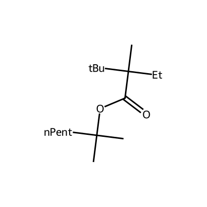 CCCCCC(C)(C)OC(=O)C(C)(CC)C(C)(C)C